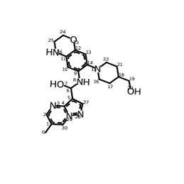 Cc1cnc2c(C(O)Nc3cc4c(cc3N3CCC(CO)CC3)OCCN4)cnn2c1